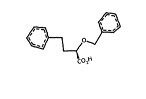 O=C(O)[C@@H](CCc1ccccc1)OCc1ccccc1